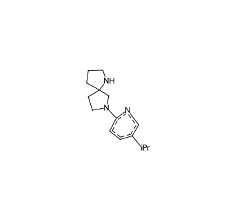 CC(C)c1ccc(N2CCC3(CCCN3)C2)nc1